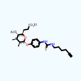 C#CCCCCNC(=S)Nc1ccc(O[C@H]2O[C@H](CCC(=O)OCC)[C@@H](OC(C)=O)[C@H](C)[C@@H]2C)cc1